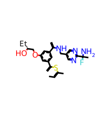 C=C(NCc1cnc(C(C)(N)F)nc1)c1cc(OC[C@H](O)CC)cc(C(=C)S/C(C)=C\C)c1